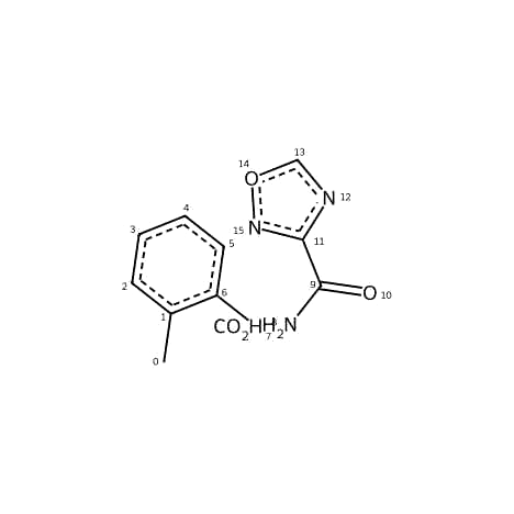 Cc1ccccc1C(=O)O.NC(=O)c1ncon1